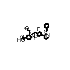 COCCn1c(Cc2c(F)cc(-c3cccnc3OCc3ccccc3)cc2F)nc2ccc(C(=O)O)cc21